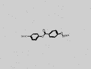 CCCCCCOc1ccc(C(=O)Oc2ccc(C=O)cc2)cc1